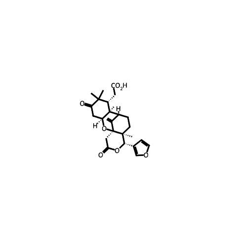 C=C1[C@@H]2CC[C@@]3(C)[C@H](c4ccoc4)OC(=O)C[C@]13O[C@H]1CC(=O)C(C)(C)[C@H](CC(=O)O)[C@]12C